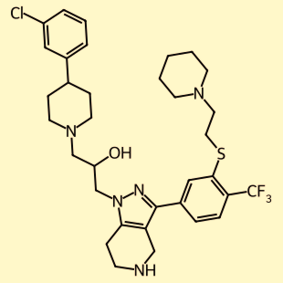 OC(CN1CCC(c2cccc(Cl)c2)CC1)Cn1nc(-c2ccc(C(F)(F)F)c(SCCN3CCCCC3)c2)c2c1CCNC2